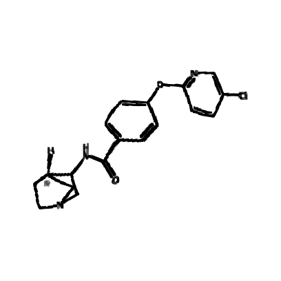 O=C(NC1CN2CC[C@H]1C2)c1ccc(Oc2ccc(Cl)cn2)cc1